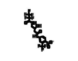 O=C(CC(O)CNC(=O)C(F)(F)C(F)(F)F)Nc1ccc([N+](=O)[O-])c(C(F)(F)F)c1